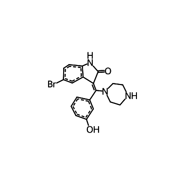 O=C1Nc2ccc(Br)cc2/C1=C(\c1cccc(O)c1)N1CCNCC1